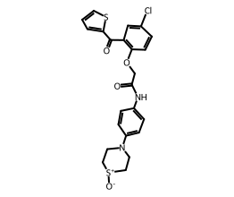 O=C(COc1ccc(Cl)cc1C(=O)c1cccs1)Nc1ccc(N2CC[S+]([O-])CC2)cc1